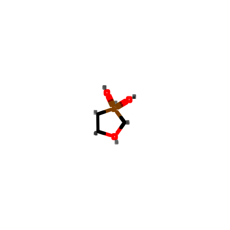 O=S1(=O)CCOC1